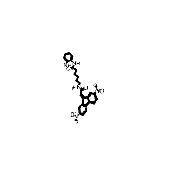 Nc1ccccc1NC(=O)CCCCCNC(=O)C=C1c2cc([N+](=O)[O-])ccc2-c2ccc([N+](=O)[O-])cc21